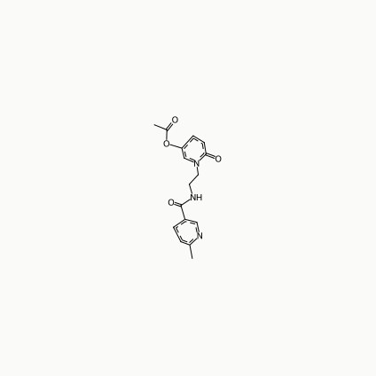 CC(=O)Oc1ccc(=O)n(CCNC(=O)c2ccc(C)nc2)c1